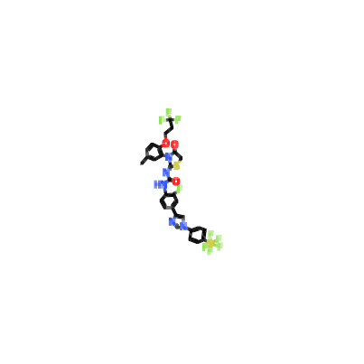 Cc1ccc(OCCC(F)(F)F)c(N2C(=O)CSC2=NC(=O)Nc2ccc(-c3cn(-c4ccc(S(F)(F)(F)(F)F)cc4)cn3)cc2F)c1